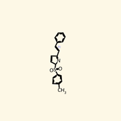 Cc1ccc(S(=O)(=O)C2C=CC(/C=C/c3ccccc3)=N2)cc1